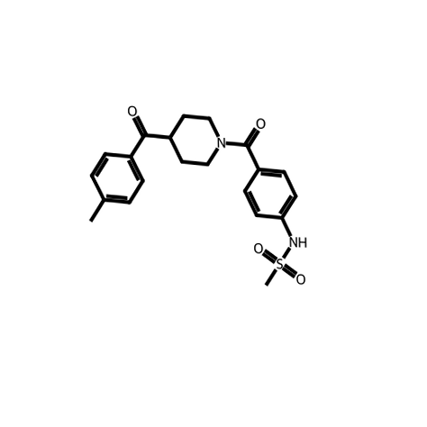 Cc1ccc(C(=O)C2CCN(C(=O)c3ccc(NS(C)(=O)=O)cc3)CC2)cc1